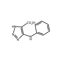 CCOC(=O)c1[nH]nnc1Nc1ccccc1